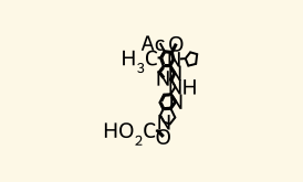 CC(=O)c1c(C)c2cnc(Nc3ccc4c(n3)CCN(C(=O)C(=O)O)C4)nc2n(C2CCCC2)c1=O